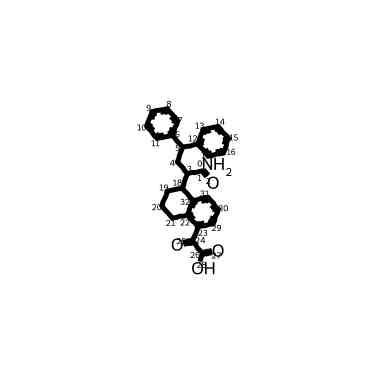 NC(=O)C(CC(c1ccccc1)c1ccccc1)C1CCCc2c(C(=O)C(=O)O)cccc21